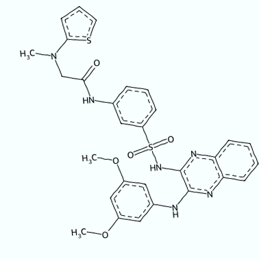 COc1cc(Nc2nc3ccccc3nc2NS(=O)(=O)c2cccc(NC(=O)CN(C)c3cccs3)c2)cc(OC)c1